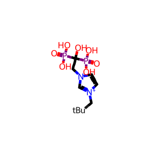 CC(C)(C)C[n+]1ccn(CC(O)(P(=O)(O)O)P(=O)(O)O)c1